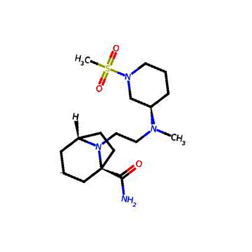 CN(CCN1[C@@H]2C[CH]C[C@@]1(C(N)=O)CC2)[C@@H]1CCCN(S(C)(=O)=O)C1